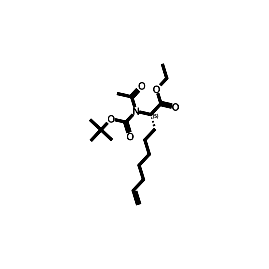 C=CCCCCC[C@@H](C(=O)OCC)N(C(C)=O)C(=O)OC(C)(C)C